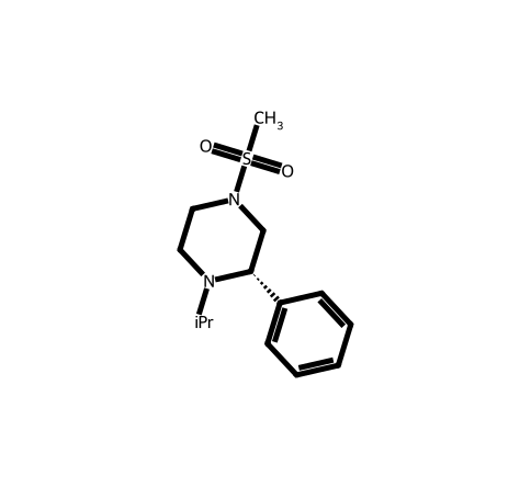 CC(C)N1CCN(S(C)(=O)=O)C[C@@H]1c1ccccc1